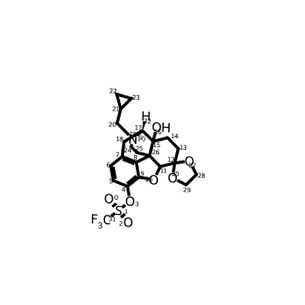 O=S(=O)(Oc1ccc2c3c1OC1C4(CCC5(O)[C@@H](C2)N(CC2CC2)CCC315)OCCO4)C(F)(F)F